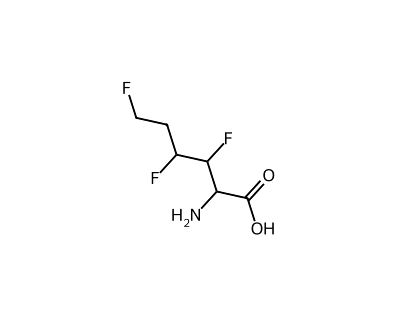 NC(C(=O)O)C(F)C(F)CCF